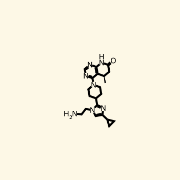 C[C@@H]1CC(=O)Nc2ncnc(N3CCC(c4nc(C5CC5)cn4CCN)CC3)c21